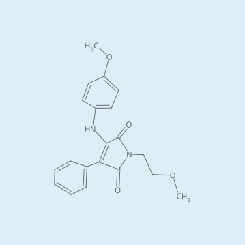 COCCN1C(=O)C(Nc2ccc(OC)cc2)=C(c2ccccc2)C1=O